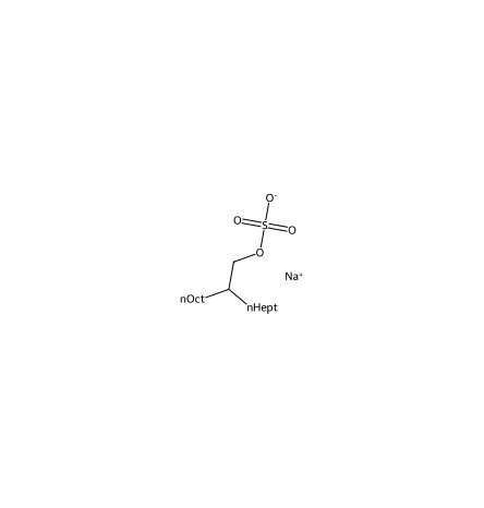 CCCCCCCCC(CCCCCCC)COS(=O)(=O)[O-].[Na+]